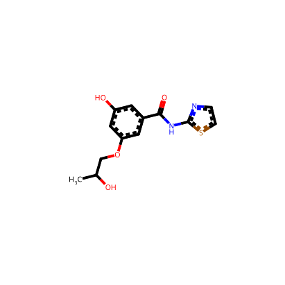 CC(O)COc1cc(O)cc(C(=O)Nc2nccs2)c1